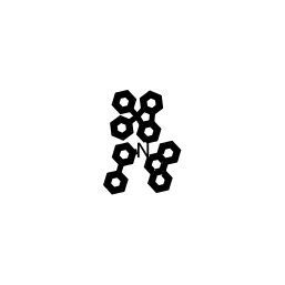 c1ccc(-c2cccc(N(c3ccc4c(c3)C(c3ccccc3)(c3ccccc3)c3ccccc3-4)c3cc4ccccc4c4ccccc34)c2)cc1